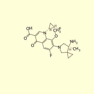 COc1c(N2CC3(CC3)[C@](C)(N)C2)c(F)cc2c(=O)c(C(=O)O)cn([C@@H]3C[C@@H]3F)c12